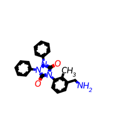 Cc1c(CN)cccc1-n1c(=O)n(-c2ccccc2)n(-c2ccccc2)c1=O